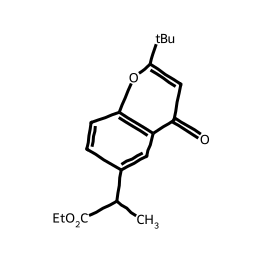 CCOC(=O)C(C)c1ccc2oc(C(C)(C)C)cc(=O)c2c1